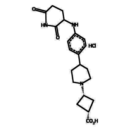 Cl.O=C1CCC(Nc2ccc(C3CCN([C@H]4C[C@@H](C(=O)O)C4)CC3)cc2)C(=O)N1